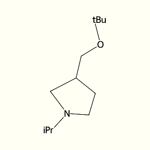 CC(C)N1CCC(COC(C)(C)C)C1